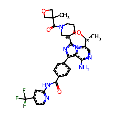 C[C@@H](O)c1cnc(N)c2c(-c3ccc(C(=O)Nc4cc(C(F)(F)F)ccn4)cc3)nc([C@@H]3CCCN(C(=O)C4(C)COC4)C3)n12